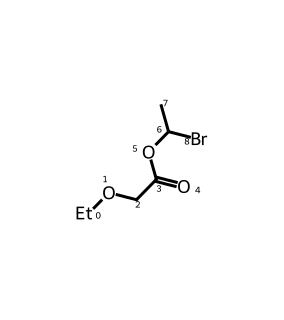 CCOCC(=O)OC(C)Br